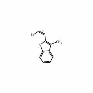 CC/C=C\c1sc2ccccc2c1C